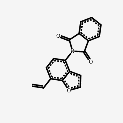 C=Cc1ccc(N2C(=O)c3ccccc3C2=O)c2ccoc12